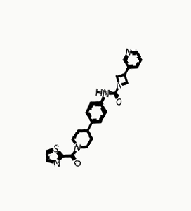 O=C(Nc1ccc(C2CCN(C(=O)c3nccs3)CC2)cc1)N1CC(c2cccnc2)C1